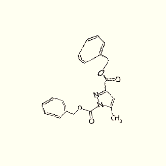 Cc1cc(C(=O)OCc2ccccc2)nn1C(=O)OCc1ccccc1